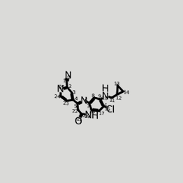 N#Cc1cc(C2=Nc3cc(NCC4CC4)c(Cl)cc3NC(=O)C2)ccn1